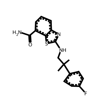 CC(C)(CNc1nc2cccc(C(N)=O)c2s1)c1ccc(F)cc1